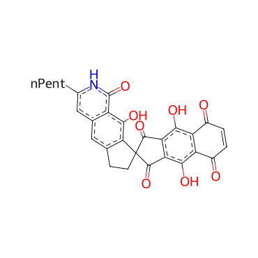 CCCCCc1cc2cc3c(c(O)c2c(=O)[nH]1)C1(CC3)C(=O)c2c(O)c3c(c(O)c2C1=O)C(=O)C=CC3=O